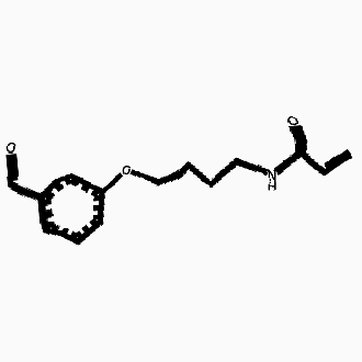 C=CC(=O)NCCCCOc1cccc(C=O)c1